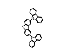 C1=Cc2c(n(-c3ccc4sc5ccc(-n6c7c(c8ccccc86)C=CCC7)cc5c4c3)c3ccccc23)CC1